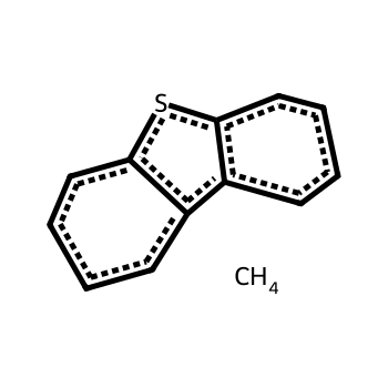 C.c1ccc2c(c1)sc1ccccc12